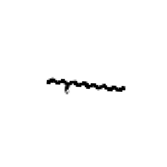 C=CC=CCCCC=CC=CC(=O)CCC=C